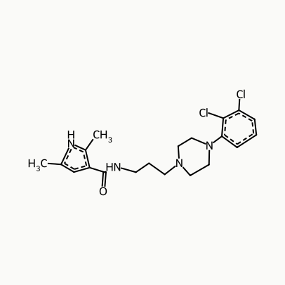 Cc1cc(C(=O)NCCCN2CCN(c3cccc(Cl)c3Cl)CC2)c(C)[nH]1